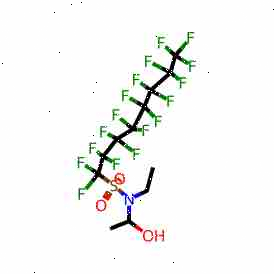 CCN(C(C)O)S(=O)(=O)C(F)(F)C(F)(F)C(F)(F)C(F)(F)C(F)(F)C(F)(F)C(F)(F)C(F)(F)F